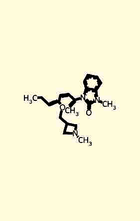 C\C=C(/C=C\C(=C/CC)OCC1CN(C)C1)n1c(=O)n(C)c2ccccc21